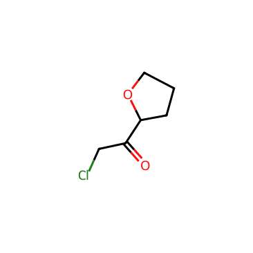 O=C(CCl)C1CCCO1